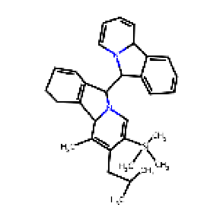 CC1=C(CC(C)C)C([Si](C)(C)C)=CN2C1C1=C(C=CCC1)C2C1c2ccccc2C2C=CC=CN21